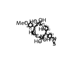 COc1ccc(-c2c3nc(cc4ccc([nH]4)c(-c4ccc(N=C=S)cc4)c4nc(cc5ccc2[nH]5)[C@@H](O)[C@H]4O)C(O)C3O)cc1